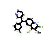 CC(C)(C)c1c(Cl)nc2ccc(C(c3cccnc3)c3cccc(Cl)c3)cc2c1F